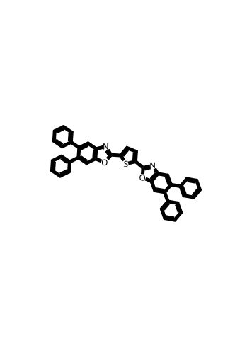 c1ccc(-c2cc3nc(-c4ccc(-c5nc6cc(-c7ccccc7)c(-c7ccccc7)cc6o5)s4)oc3cc2-c2ccccc2)cc1